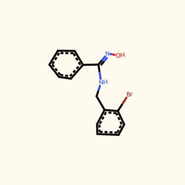 O/N=C(\NCc1ccccc1Br)c1ccccc1